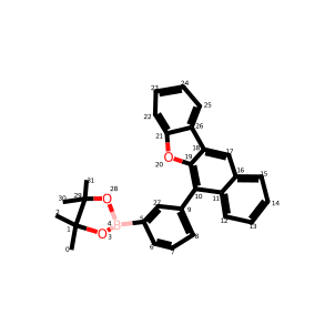 CC1(C)OB(c2cccc(-c3c4ccccc4cc4c3oc3ccccc34)c2)OC1(C)C